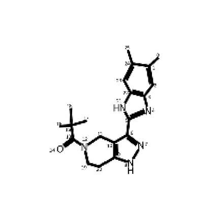 Cc1cc2nc(-c3n[nH]c4c3CN(C(=O)C(C)(C)C)CC4)[nH]c2cc1C